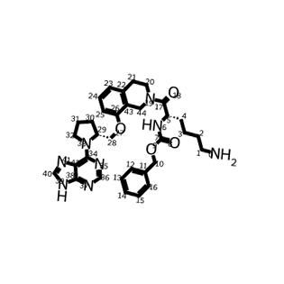 NCCCC[C@H](NC(=O)OCc1ccccc1)C(=O)N1CCc2cccc(OC[C@H]3CCCN3c3ncnc4[nH]cnc34)c2C1